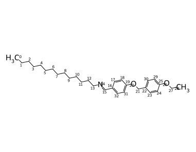 CCCCCCCCCCCCCC/N=C/c1ccc(OCc2ccc(OCC)cc2)cc1